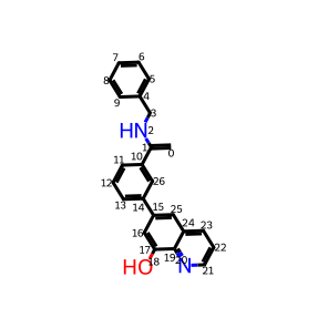 C=C(NCc1ccccc1)c1cccc(-c2cc(O)c3ncccc3c2)c1